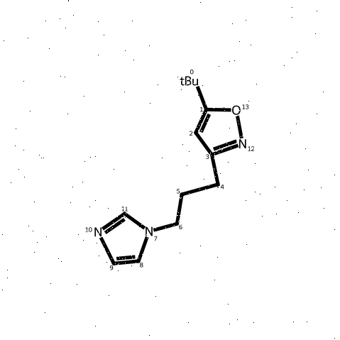 CC(C)(C)c1cc([CH]CCn2ccnc2)no1